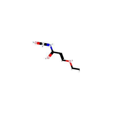 CCOC=CC(=O)N=C=O